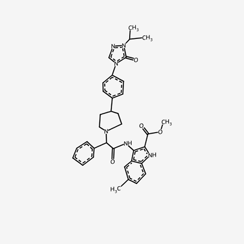 COC(=O)c1[nH]c2ccc(C)cc2c1NC(=O)C(c1ccccc1)N1CCC(c2ccc(-n3cnn(C(C)C)c3=O)cc2)CC1